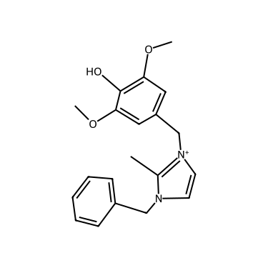 COc1cc(C[n+]2ccn(Cc3ccccc3)c2C)cc(OC)c1O